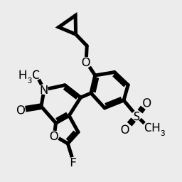 Cn1cc(-c2cc(S(C)(=O)=O)ccc2OCC2CC2)c2cc(F)oc2c1=O